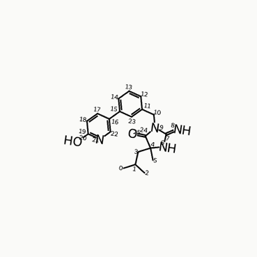 CC(C)CC1(C)NC(=N)N(Cc2cccc(-c3ccc(O)nc3)c2)C1=O